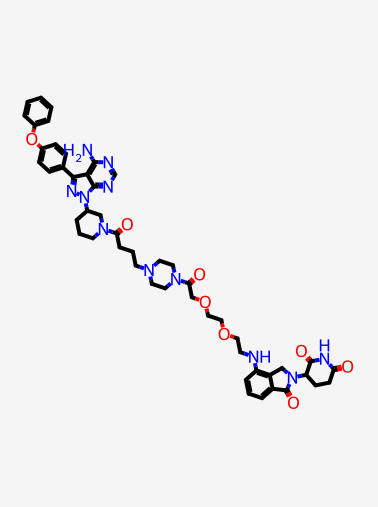 Nc1ncnc2c1c(-c1ccc(Oc3ccccc3)cc1)nn2C1CCCN(C(=O)CCCN2CCN(C(=O)COCCOCCNc3cccc4c3CN(C3CCC(=O)NC3=O)C4=O)CC2)C1